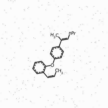 C/C=C\c1ccccc1Oc1ccc(/C(C)=C/CCC)cc1